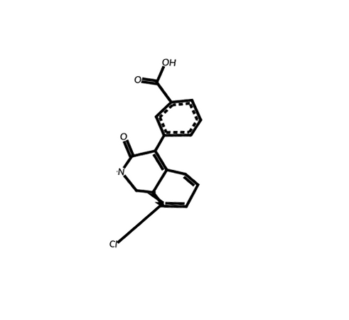 O=C1[N]CC23C=CC(Cl)=CC2=CC=CC3=C1c1cccc(C(=O)O)c1